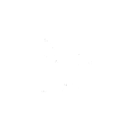 COC1CN(C(=O)c2cc(Cl)c(F)c(CNC(=O)OC(C)(C)C)c2)C1